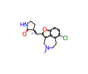 CN1CCc2c(Cl)ccc3oc(/C=C4\CCNC4=O)c(c23)C1